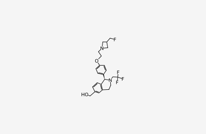 OCc1ccc2c(c1)CCN(CC(F)(F)F)[C@@H]2c1ccc(OCCN2CC(CF)C2)cc1